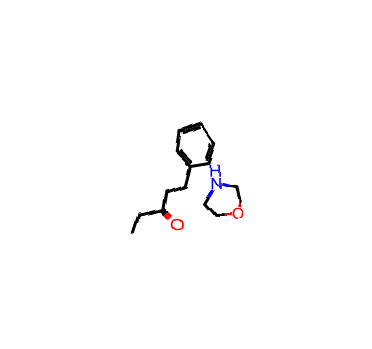 C1COCCN1.CCC(=O)CCc1ccccc1